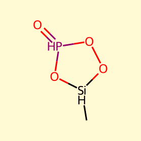 C[SiH]1OO[PH](=O)O1